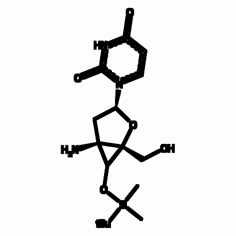 CC(C)(C)[Si](C)(C)OC1[C@]2(N)C[C@H](n3ccc(=O)[nH]c3=O)O[C@]12CO